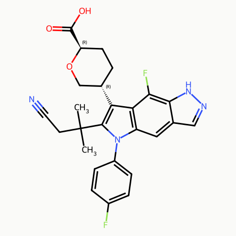 CC(C)(CC#N)c1c([C@H]2CC[C@H](C(=O)O)OC2)c2c(F)c3[nH]ncc3cc2n1-c1ccc(F)cc1